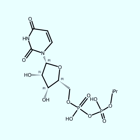 CC(C)OP(=O)(O)OP(=O)(O)OC[C@H]1O[C@@H](n2ccc(=O)[nH]c2=O)[C@@H](O)[C@H]1O